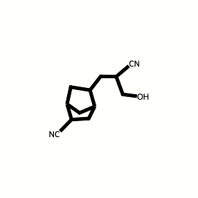 N#CC(CO)CC1CC2CC1CC2C#N